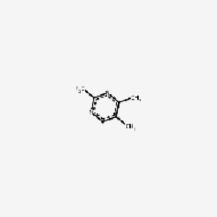 Cc1[c]nc(C(F)(F)F)nc1C